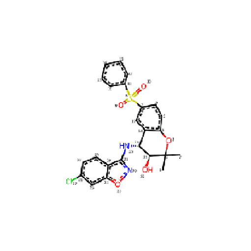 CC1(C)Oc2ccc(S(=O)(=O)c3ccccc3)cc2[C@@H](Nc2noc3cc(Cl)ccc23)[C@@H]1O